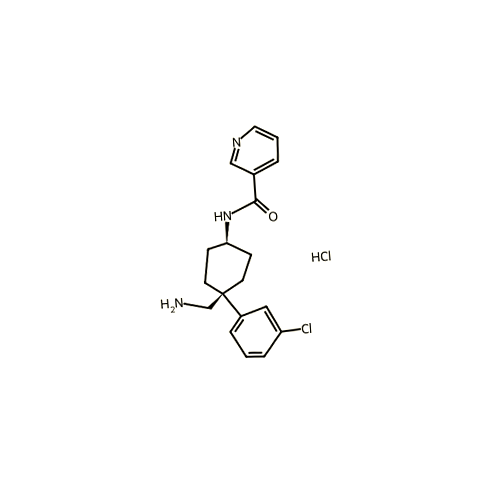 Cl.NC[C@]1(c2cccc(Cl)c2)CC[C@H](NC(=O)c2cccnc2)CC1